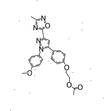 COc1ccc(-n2nc(-c3nc(C)no3)cc2-c2ccc(OCCOC(C)=O)cc2)cc1